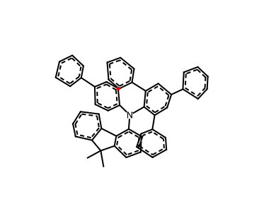 CC1(C)c2ccccc2-c2c(N(c3ccc(-c4ccccc4)cc3)c3c(-c4ccccc4)cc(-c4ccccc4)cc3-c3ccccc3)cccc21